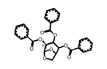 O=C(OC1C2COC(O2)[C@@H](OC(=O)c2ccccc2)C1OC(=O)c1ccccc1)c1ccccc1